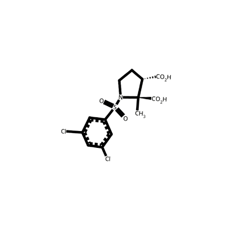 C[C@@]1(C(=O)O)[C@@H](C(=O)O)CCN1S(=O)(=O)c1cc(Cl)cc(Cl)c1